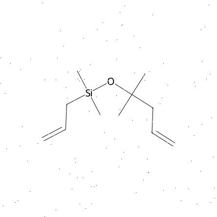 C=CCC(C)(C)O[Si](C)(C)CC=C